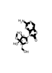 CO[C@@]1(O)[C@@H](CO)O[C@@H](n2c(=O)sc3cnc(N)nc32)[C@@H]1O